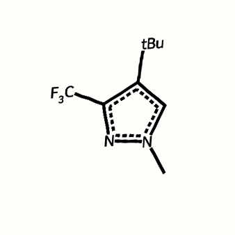 Cn1cc(C(C)(C)C)c(C(F)(F)F)n1